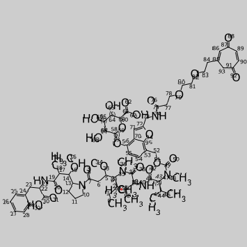 CCC(C)[C@@H](C(CC(=O)N1CCCC1C(OC)C(C)C(=O)NC(Cc1ccccc1)C(=O)O)OC)N(C)C(=O)[C@@H](NC(=O)[C@H](C(C)C)N(C)C(=O)OCc1ccc(O[C@@H]2O[C@H](C(=O)O)[C@@H](O)[C@H](O)[C@H]2O)c2cc(CNC(=O)CCOCCOCCC3=CC(=O)C=CC(=O)C3)oc12)C(C)C